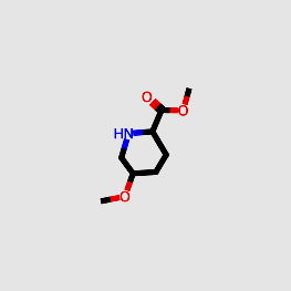 COC(=O)C1CCC(OC)CN1